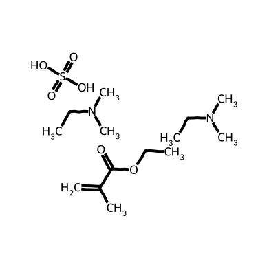 C=C(C)C(=O)OCC.CCN(C)C.CCN(C)C.O=S(=O)(O)O